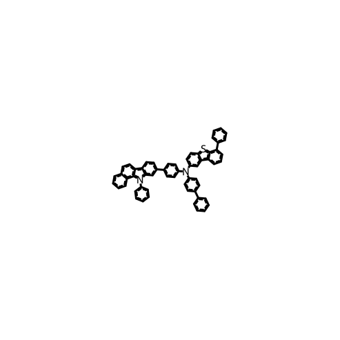 c1ccc(-c2ccc(N(c3ccc(-c4ccc5c6ccc7ccccc7c6n(-c6ccccc6)c5c4)cc3)c3ccc4sc5c(-c6ccccc6)cccc5c4c3)cc2)cc1